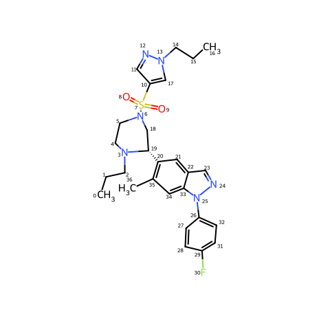 CCCN1CCN(S(=O)(=O)c2cnn(CCC)c2)C[C@@H]1c1cc2cnn(-c3ccc(F)cc3)c2cc1C